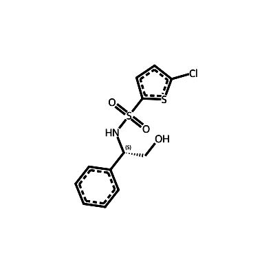 O=S(=O)(N[C@H](CO)c1ccccc1)c1ccc(Cl)s1